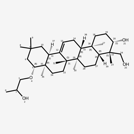 CC(O)CO[C@@H]1CC(C)(C)C[C@H]2C3=CC[C@@H]4[C@@]5(C)CC[C@H](O)[C@](C)(CO)[C@@H]5CC[C@@]4(C)[C@]3(C)CC[C@@]12C